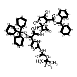 CC(C)(C)OC(=O)Nc1nc(/C(=N/OC(c2ccccc2)(c2ccccc2)c2ccccc2)C(=O)N[C@@H]2C(=O)N3C(C(=O)OC(c4ccccc4)c4ccccc4)=C(S)C[S+]([O-])[C@@H]23)cs1